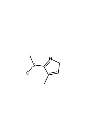 CC1=CCN=C1[S+](C)[O-]